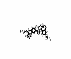 COc1ccc2c(c1)CO[C@H]1CCN(C(=O)c3cc4c(cc3F)nc(N)c3cncn34)[C@@H]21